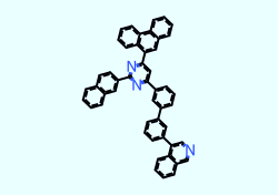 c1cc(-c2cccc(-c3cncc4ccccc34)c2)cc(-c2cc(-c3cc4ccccc4c4ccccc34)nc(-c3ccc4ccccc4c3)n2)c1